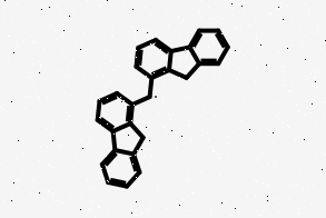 [CH](c1cccc2c1Cc1ccccc1-2)c1cccc2c1Cc1ccccc1-2